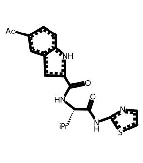 CC(=O)c1ccc2[nH]c(C(=O)N[C@H](C(=O)Nc3nccs3)C(C)C)cc2c1